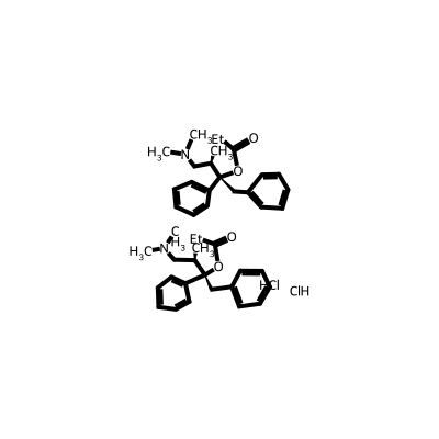 CCC(=O)O[C@](Cc1ccccc1)(c1ccccc1)[C@H](C)CN(C)C.CCC(=O)O[C@](Cc1ccccc1)(c1ccccc1)[C@H](C)CN(C)C.Cl.Cl